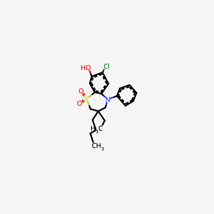 CCCCC1(CC)CN(c2ccccc2)c2cc(Cl)c(O)cc2S(=O)(=O)C1